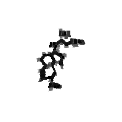 COc1ccc2c(c1)-c1onc(N[C@@H](CC=O)C(=O)O)c1CC2